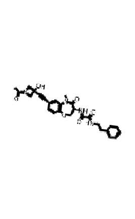 CC(=O)N1CC(O)(C#Cc2ccc3c(c2)N(C)C(=O)[C@@H](NC(=O)C(=O)NCCc2ccccc2)CO3)C1